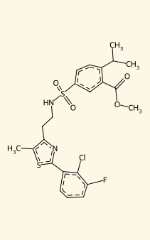 COC(=O)c1cc(S(=O)(=O)NCCc2nc(-c3cccc(F)c3Cl)sc2C)ccc1C(C)C